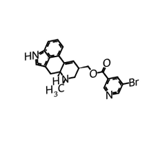 CN1C[C@H](COC(=O)c2cncc(Br)c2)C=C2c3cccc4[nH]cc(c34)C[C@H]21